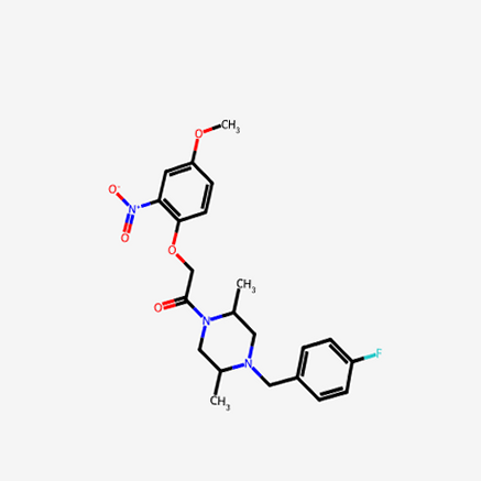 COc1ccc(OCC(=O)N2CC(C)N(Cc3ccc(F)cc3)CC2C)c([N+](=O)[O-])c1